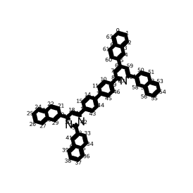 c1ccc2cc(-c3cc(-c4ccc(-c5ccc(-c6cc(-c7ccc8ccccc8c7)nc(-c7ccc8ccccc8c7)n6)cc5)cc4)nc(-c4ccc5ccccc5c4)c3)ccc2c1